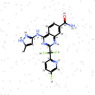 Cc1cc(Nc2nc(C(F)(F)c3ccc(F)cn3)nc3cc(C(N)=O)ccc23)n[nH]1